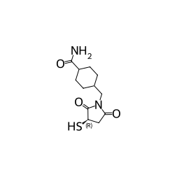 NC(=O)C1CCC(CN2C(=O)C[C@@H](S)C2=O)CC1